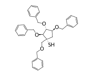 S[C@@]1(COCc2ccccc2)C[C@H](OCc2ccccc2)[C@@H](OCc2ccccc2)[C@@H]1OCc1ccccc1